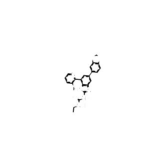 CCNC(=O)Nc1nc2cc(-c3ccc4c(c3)OCO4)cc(-c3ncccc3F)c2[nH]1